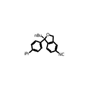 [C-]#[N+]c1ccc2c(c1)CO[C@@]2(CCCC)c1ccc(C(C)C)cc1